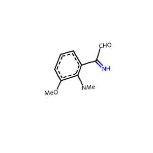 CNc1c(OC)cccc1C(=N)C=O